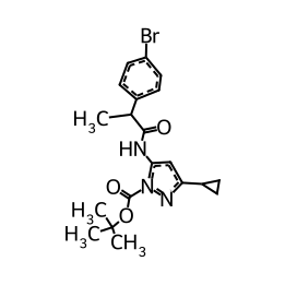 CC(C(=O)Nc1cc(C2CC2)nn1C(=O)OC(C)(C)C)c1ccc(Br)cc1